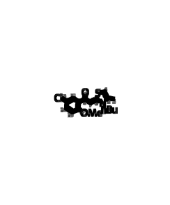 CCCCN1C(C)=CSC1=CC(=O)c1cc(Cl)ccc1OC